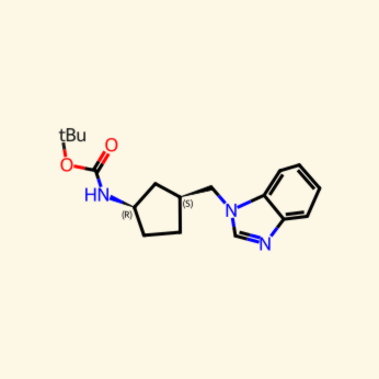 CC(C)(C)OC(=O)N[C@@H]1CC[C@H](Cn2cnc3ccccc32)C1